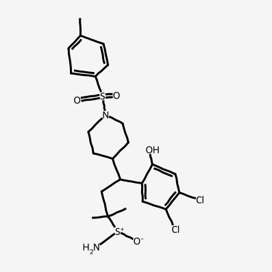 Cc1ccc(S(=O)(=O)N2CCC(C(CC(C)(C)[S+](N)[O-])c3cc(Cl)c(Cl)cc3O)CC2)cc1